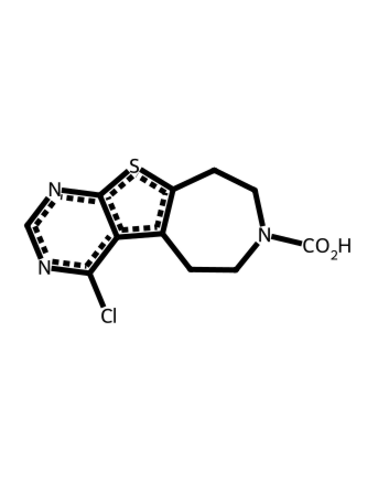 O=C(O)N1CCc2sc3ncnc(Cl)c3c2CC1